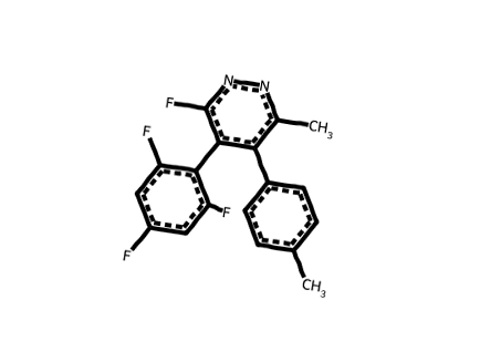 Cc1ccc(-c2c(C)nnc(F)c2-c2c(F)cc(F)cc2F)cc1